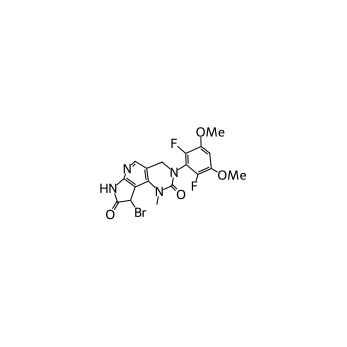 COc1cc(OC)c(F)c(N2Cc3cnc4c(c3N(C)C2=O)C(Br)C(=O)N4)c1F